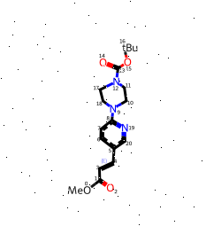 COC(=O)/C=C/c1ccc(N2CCN(C(=O)OC(C)(C)C)CC2)nc1